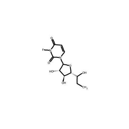 CCC(O)[C@H]1OC(n2ccc(=O)n(F)c2=O)[C@@H](O)[C@@H]1O